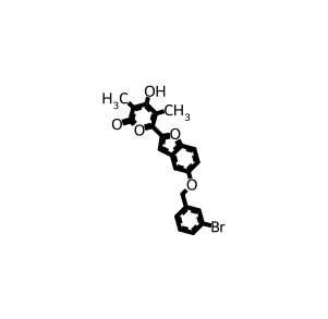 Cc1c(-c2cc3cc(OCc4cccc(Br)c4)ccc3o2)oc(=O)c(C)c1O